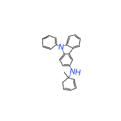 CC1(Nc2ccc3c(c2)c2ccccc2n3-c2ccccc2)C=CC=CC1